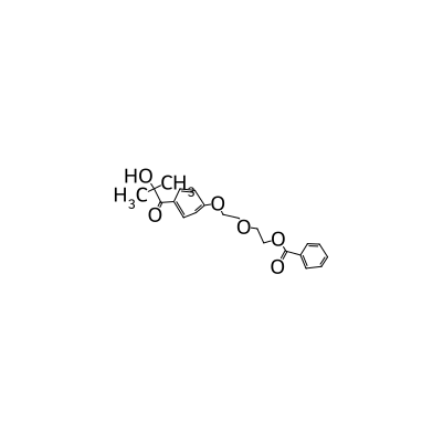 CC(C)(O)C(=O)c1ccc(OCCOCCOC(=O)c2ccccc2)cc1